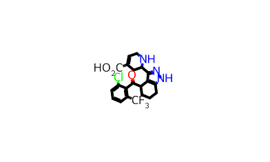 O=C(O)C1=CCNC(c2n[nH]c3c2C(C(=O)c2c(Cl)cccc2C(F)(F)F)CCC3)C1